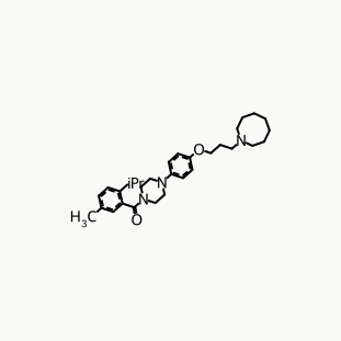 Cc1ccc(C(C)C)c(C(=O)N2CCN(c3ccc(OCCCN4CCCCCCC4)cc3)CC2)c1